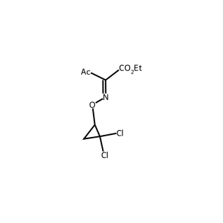 CCOC(=O)C(=NOC1CC1(Cl)Cl)C(C)=O